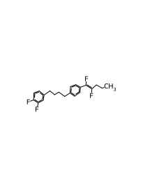 CCCC(F)=C(F)c1ccc(CCCCc2ccc(F)c(F)c2)cc1